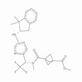 COC(=O)C12CC(C(=O)N(C)[C@@H](c3ccc(N[C@H]4Cc5ccccc5C4(C)C)cn3)C(F)(F)F)(C1)C2